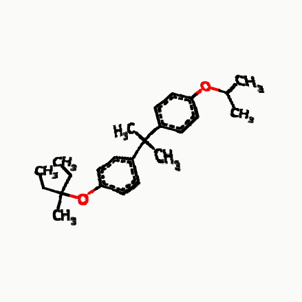 CCC(C)(CC)Oc1ccc(C(C)(C)c2ccc(OC(C)C)cc2)cc1